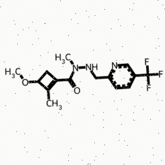 COC1CC(C(=O)N(C)NCc2ccc(C(F)(F)F)cn2)=C1C